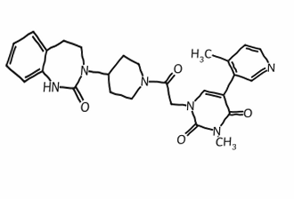 Cc1ccncc1-c1cn(CC(=O)N2CCC(N3CCc4ccccc4NC3=O)CC2)c(=O)n(C)c1=O